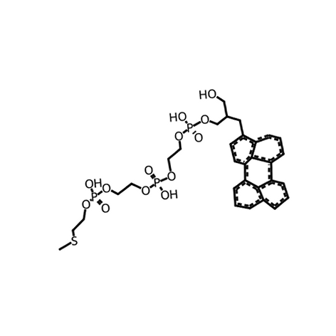 CSCCOP(=O)(O)OCCOP(=O)(O)OCCOP(=O)(O)OCC(CO)Cc1ccc2c3cccc4cccc(c5cccc1c52)c43